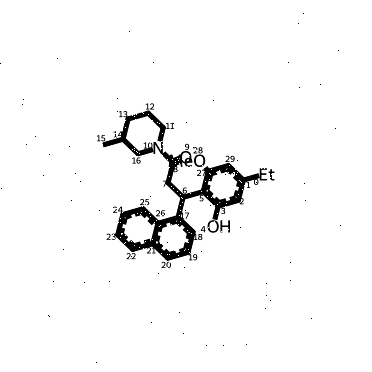 CCc1cc(O)c(C(CC(=O)N2CCCC(C)C2)c2cccc3ccccc23)c(OC)c1